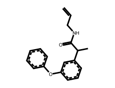 C=CCNC(=O)C(C)c1cccc(Oc2ccccc2)c1